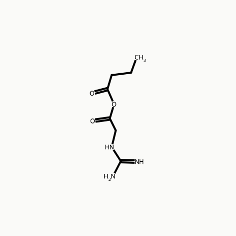 CCCC(=O)OC(=O)CNC(=N)N